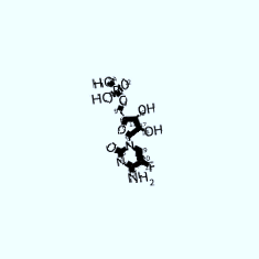 Nc1nc(=O)n([C@@H]2O[C@H](COP(=O)(O)O)[C@@H](O)[C@H]2O)cc1F